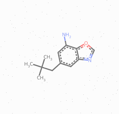 CC(C)(C)Cc1cc(N)c2ocnc2c1